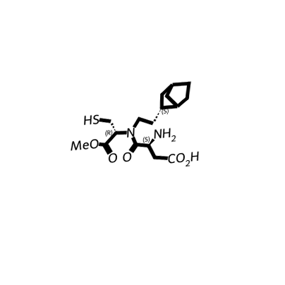 COC(=O)[C@H](CS)N(CC[C@@H]1CC2CCC1C2)C(=O)[C@@H](N)CC(=O)O